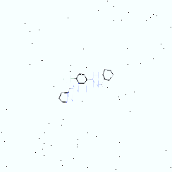 CC(NCc1ccc(Cl)c(NCc2ccccn2)c1)c1ccccc1